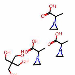 CC(C(=O)O)N1CC1.CC(C(=O)O)N1CC1.CC(C(=O)O)N1CC1.OCC(CO)(CO)CO